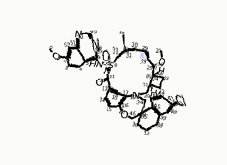 COc1ccc2c(N[S@@]3(=O)=NC(=O)c4ccc5c(c4)N(C[C@@H]4CC[C@H]4[C@@H](OC)/C=C/C[C@H](C)C3)C[C@@]3(CCCc4cc(Cl)ccc43)CO5)ncnc2c1